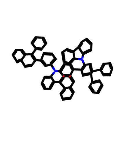 c1ccc(-c2cc(-c3ccc(N(c4cccc(-c5ccc6ccccc6c5-c5ccccc5)c4)c4ccccc4-c4cccc5ccccc45)cc3)c(-n3c4ccccc4c4ccccc43)cc2-c2ccccc2)cc1